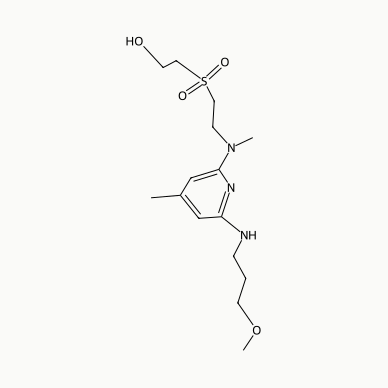 COCCCNc1cc(C)cc(N(C)CCS(=O)(=O)CCO)n1